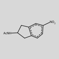 CC(=O)NC1Cc2ccc([N+](=O)[O-])cc2C1